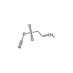 C=CCS(=O)(=O)OC#N